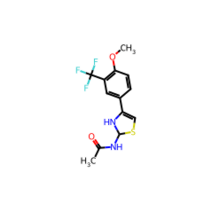 COc1ccc(C2=CSC(NC(C)=O)N2)cc1C(F)(F)F